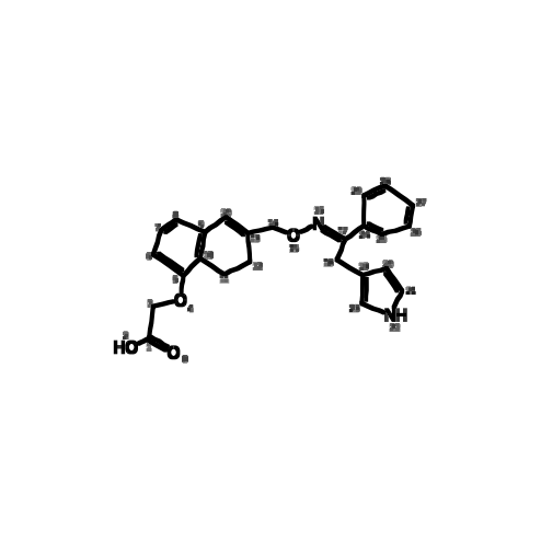 O=C(O)COc1cccc2c1CCC(CO/N=C(\Cc1cc[nH]c1)c1ccccc1)=C2